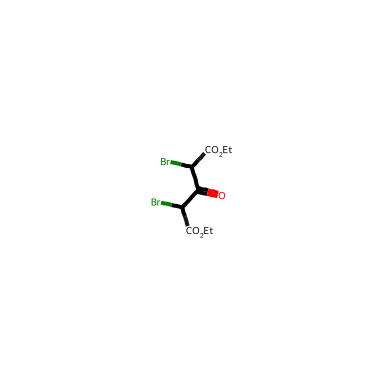 CCOC(=O)C(Br)C(=O)C(Br)C(=O)OCC